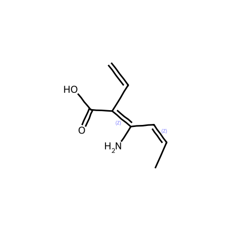 C=C/C(C(=O)O)=C(N)\C=C/C